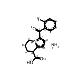 N.O=C(c1ccccc1F)c1ccc2n1CCCC2C(=O)O